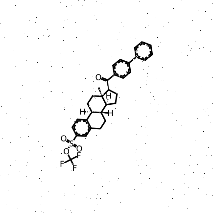 C[C@]12CC[C@@H]3c4ccc(S(=O)(=O)OC(F)(F)F)cc4CC[C@H]3[C@@H]1CC[C@@H]2C(=O)c1ccc(-c2ccccc2)cc1